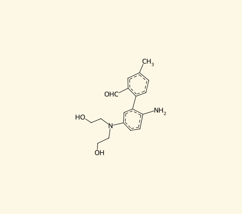 Cc1ccc(-c2cc(N(CCO)CCO)ccc2N)c(C=O)c1